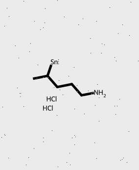 C[CH]([Sn])CCCN.Cl.Cl